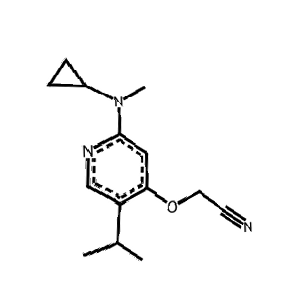 CC(C)c1cnc(N(C)C2CC2)cc1OCC#N